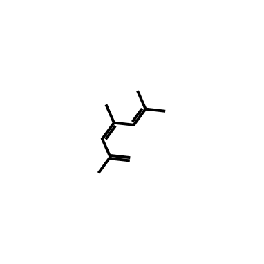 C=C(C)/C=C(/C)C=C(C)C